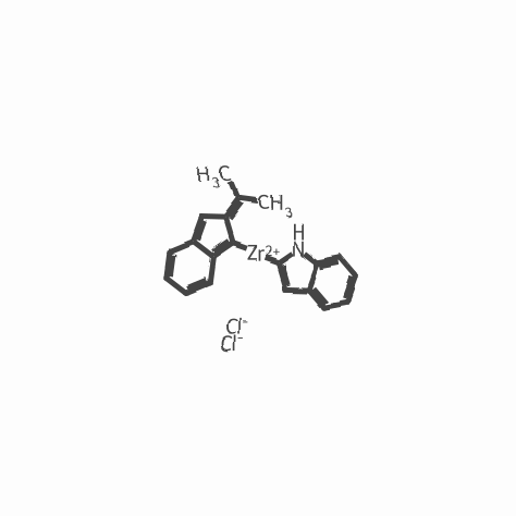 CC(C)=C1C=c2ccccc2=[C]1[Zr+2][c]1cc2ccccc2[nH]1.[Cl-].[Cl-]